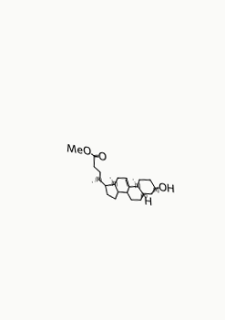 COC(=O)CC[C@@H](C)C1CCC2C3CC[C@@H]4C[C@H](O)CC[C@]4(C)C3=CC[C@@]21C